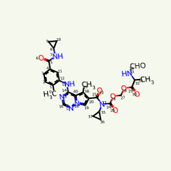 Cc1ccc(C(=O)NC2CC2)cc1Nc1ncnn2cc(C(=O)N(C(=O)OCOC(=O)C(C)NC=O)C3CC3)c(C)c12